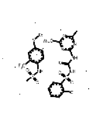 CCSc1ccc(NS(C)(=O)=O)c(C(F)(F)F)c1.COc1nc(C)nc(NC(=O)NS(=O)(=O)c2ccccc2Cl)n1